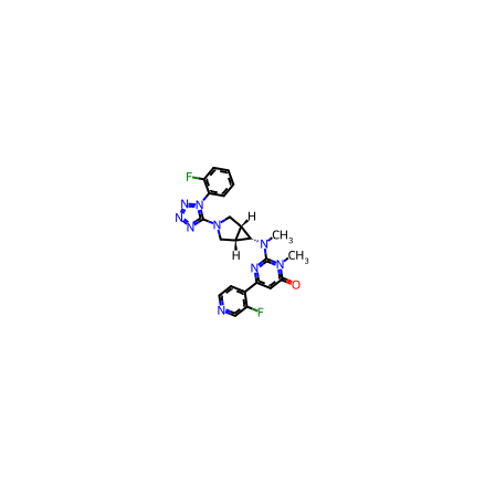 CN(c1nc(-c2ccncc2F)cc(=O)n1C)[C@@H]1[C@@H]2CN(c3nnnn3-c3ccccc3F)C[C@@H]21